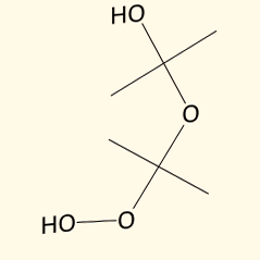 CC(C)(O)OC(C)(C)OO